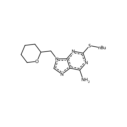 CCCCSc1nc(N)c2ncn(CC3CCCCO3)c2n1